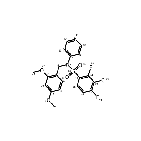 COc1ccc(CN(c2ccncn2)S(=O)(=O)c2ccc(F)c(Cl)c2F)c(OC)c1